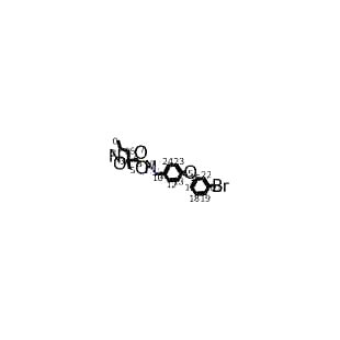 CC1=NOC(C)(C(=O)O/N=C/c2ccc(Oc3cccc(Br)c3)cc2)C1